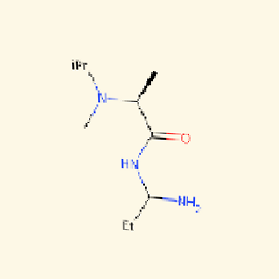 CCC(N)NC(=O)[C@H](C)N(C)C(C)C